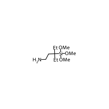 CCC(CC)(CCN)[Si](OC)(OC)OC